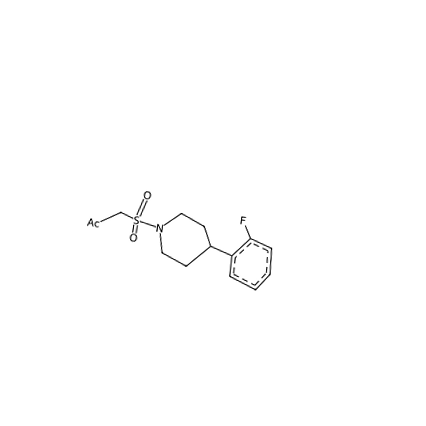 CC(=O)CS(=O)(=O)N1CCC(c2ccccc2F)CC1